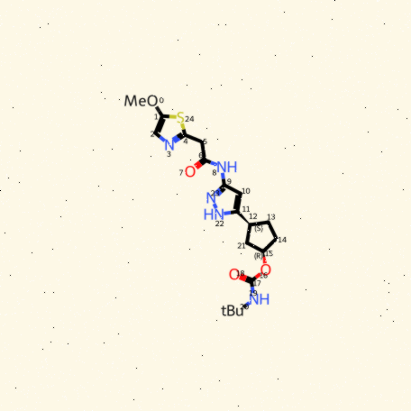 COc1cnc(CC(=O)Nc2cc([C@H]3CC[C@@H](OC(=O)NC(C)(C)C)C3)[nH]n2)s1